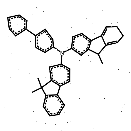 CC1C2=CCCC=C2c2ccc(N(c3ccc(-c4ccccc4)cc3)c3ccc4c(c3)C(C)(C)c3ccccc3-4)cc21